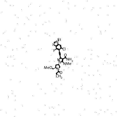 C=CC(=O)N1C[C@@H](n2nc(C#Cc3c(Cl)cc4c(ncn4CC)c3F)c(C(N)=O)c2NC)C[C@@H]1COC